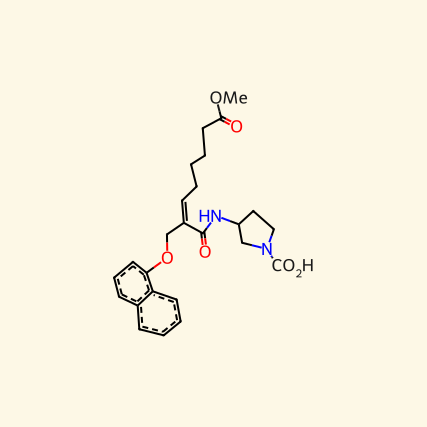 COC(=O)CCCCC=C(COc1cccc2ccccc12)C(=O)NC1CCN(C(=O)O)C1